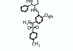 Cc1ccc(S(=O)(=O)N(C)c2ccc(OC(C)C)c(CN[C@@H]3CCCN[C@@H]3c3ccccc3)c2)cc1